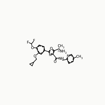 Cc1ccc(CNC(=O)c2nc(-c3ccc(OC(F)F)c(OCC4CC4)c3)oc2[C@H](C)N)nc1